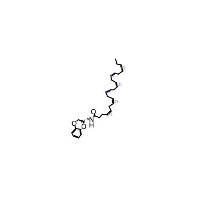 CC/C=C\C/C=C\C/C=C\C/C=C\C/C=C\C/C=C\CCC(=O)NC[C@H]1COc2ccccc2O1